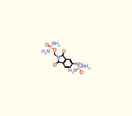 NP(N)(=O)Nc1ccc2c(c1)C(=O)N(COP(N)(N)=O)C2=O